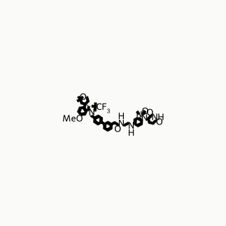 COc1ccc([C@]2(CCN(Cc3ccc(-c4cccc(CC(=O)NCCNc5ccc6c(c5)n(C)c(=O)n6C5CCC(=O)NC5=O)c4)cc3)CC(C)(C)C(F)(F)F)CCOC(C)(C)C2)cc1